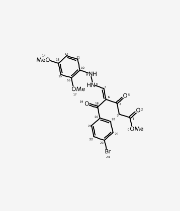 COC(=O)CC(=O)C(=CNNc1ccc(OC)cc1OC)C(=O)c1ccc(Br)cc1